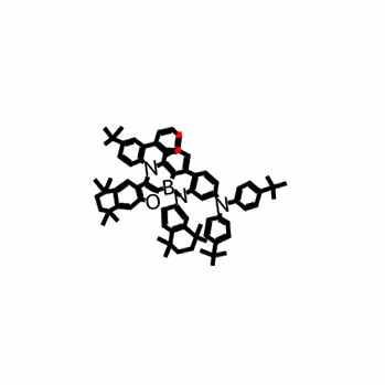 Cc1cc2c3c(c1)N(c1ccc(C(C)(C)C)cc1-c1ccccc1)c1c(oc4cc5c(cc14)C(C)(C)CCC5(C)C)B3N(c1ccc3c(c1)C(C)(C)CCC3(C)C)c1cc(N(c3ccc(C(C)(C)C)cc3)c3ccc(C(C)(C)C)cc3)ccc1-2